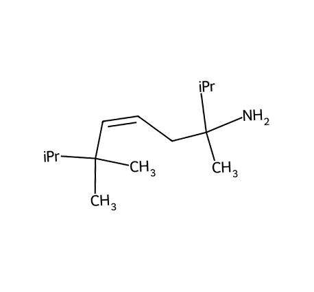 CC(C)C(C)(C)/C=C\CC(C)(N)C(C)C